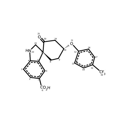 O=C(O)c1ccc2c(c1)[C@]1(CC[C@@H](Oc3ccc(C(F)(F)F)cc3)CC1=O)CN2